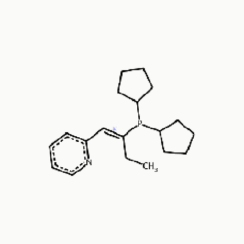 CC/C(=C\c1ccccn1)P(C1CCCC1)C1CCCC1